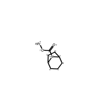 CCCOC(=O)N1C2CCCC1CC2